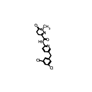 CN1N=C(C(=O)Nc2ccc(Cc3cc(Cl)cc(Cl)c3)cn2)CCC1=O